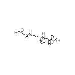 CN[C@@H](CC(C)C)C(=O)NCC(=O)N[C@@H](CCCCNC(=O)CCC(=O)O)C(C)=O